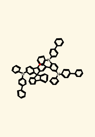 c1ccc(-c2ccc(N(c3ccccc3)c3ccc(N(c4ccccc4)c4ccc(-c5ccccc5)cc4)c(-c4ccc5c(c4)C4(c6ccccc6-c6ccccc64)c4cc(N(c6ccccc6)c6ccc(-c7ccccc7)cc6)ccc4-5)c3)cc2)cc1